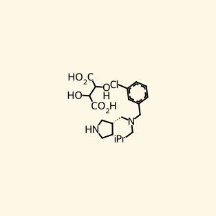 CC(C)CN(Cc1cccc(Cl)c1)C[C@@H]1CCNC1.O=C(O)C(O)C(O)C(=O)O